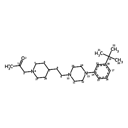 CC(=O)CN1CCC(CCN2CCN(c3cccc(C(C)(C)C)c3)CC2)CC1